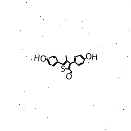 Cc1c(-c2ccc(O)cc2)sc(C=O)c1-c1ccc(O)cc1